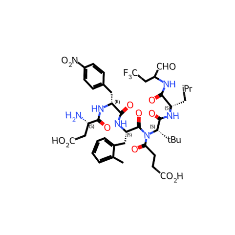 Cc1ccccc1C[C@H](NC(=O)[C@@H](Cc1ccc([N+](=O)[O-])cc1)NC(=O)[C@@H](N)CC(=O)O)C(=O)N(C(=O)CCC(=O)O)[C@H](C(=O)N[C@@H](CC(C)C)C(=O)NC(C=O)CC(F)(F)F)C(C)(C)C